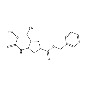 CC(C)(C)OC(=O)NC1CN(C(=O)OCc2ccccc2)CC1CC#N